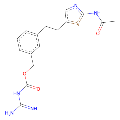 CC(=O)Nc1ncc(CCc2cccc(COC(=O)NC(=N)N)c2)s1